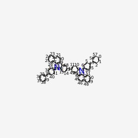 c1ccc(-c2ccc(-n3c4ccc(-c5ccc6c(c5)c5ccc7ccccc7c5n6-c5ccc(-c6ccccc6)cc5)cc4c4ccc5ccccc5c43)cc2)cc1